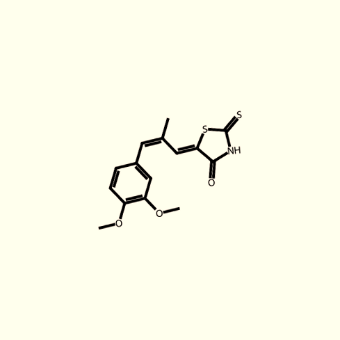 COc1ccc(C=C(C)C=C2SC(=S)NC2=O)cc1OC